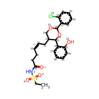 CCS(=O)(=O)NC(=O)CC/C=C\CC1COC(c2ccccc2Cl)OC1c1ccccc1O